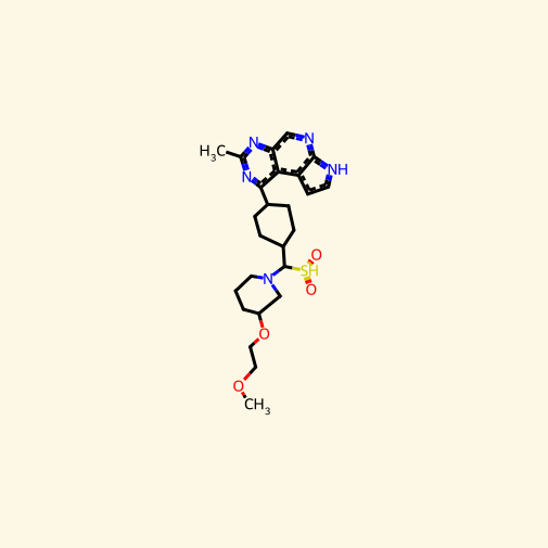 COCCOC1CCCN(C(C2CCC(c3nc(C)nc4cnc5[nH]ccc5c34)CC2)[SH](=O)=O)C1